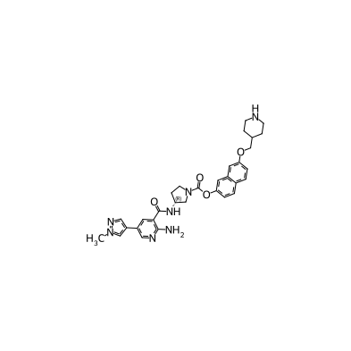 Cn1cc(-c2cnc(N)c(C(=O)N[C@@H]3CCN(C(=O)Oc4ccc5ccc(OCC6CCNCC6)cc5c4)C3)c2)cn1